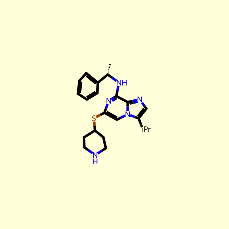 CC(C)c1cnc2c(N[C@@H](C)c3ccccc3)nc(SC3CCNCC3)cn12